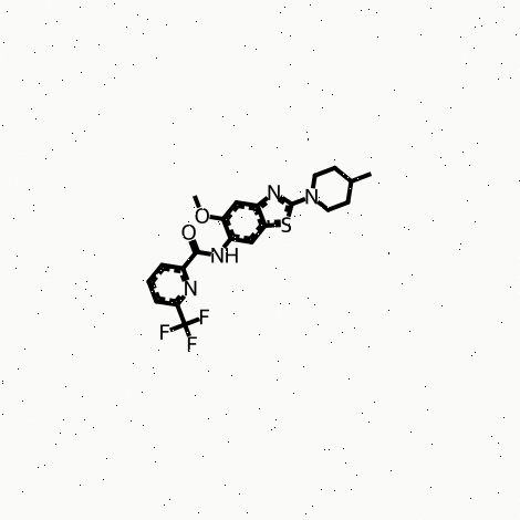 COc1cc2nc(N3CCC(C)CC3)sc2cc1NC(=O)c1cccc(C(F)(F)F)n1